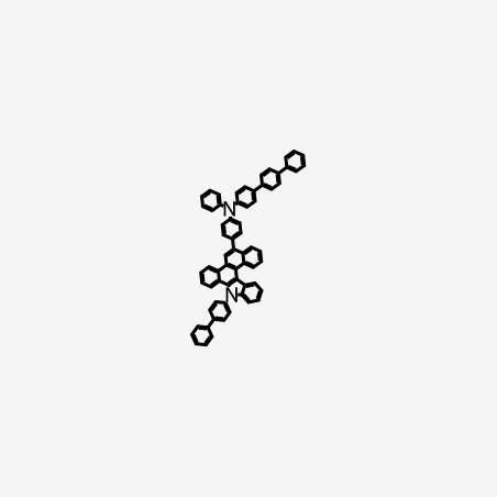 c1ccc(-c2ccc(-c3ccc(N(c4ccccc4)c4ccc(-c5cc6c7ccccc7c7c(c8ccccc8n7-c7ccc(-c8ccccc8)cc7)c6c6ccccc56)cc4)cc3)cc2)cc1